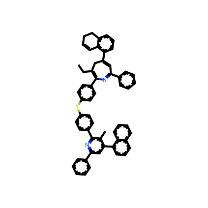 CCC1=C(c2ccc(Sc3ccc(-c4nc(-c5ccccc5)cc(-c5cccc6ccccc56)c4C)cc3)cc2)N=C(c2ccccc2)C=C(c2cccc3c2C=CCC3)C1